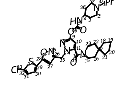 CC(C)N1CCC(NC(=O)Oc2cc(C(=O)N3CCC4(CCCC4)CC3)n(Cc3cc(-c4ccc(Cl)s4)on3)n2)CC1